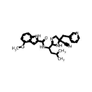 COc1cccc2[nH]c(C(=O)NC(CC(C)C)C3=NCC(C#N)(Cc4cccnc4)N3)cc12